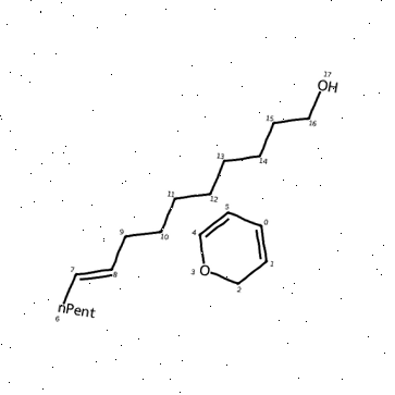 C1=CCOC=C1.CCCCC/C=C/CCCCCCCCO